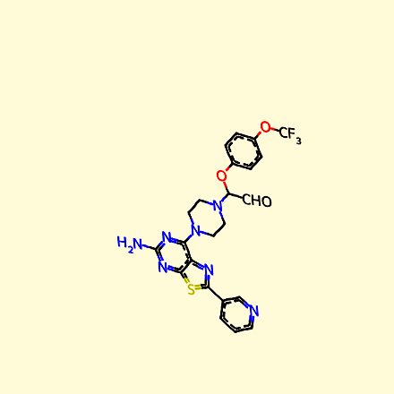 Nc1nc(N2CCN(C(C=O)Oc3ccc(OC(F)(F)F)cc3)CC2)c2nc(-c3cccnc3)sc2n1